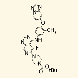 Cc1cc(Nc2ncnc3cnc(N4CCN(C(=O)OC(C)(C)C)CC4)c(F)c23)ccc1Oc1ccn2ncnc2c1